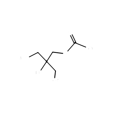 CCCC(=O)OCC(CC)(COC(C)=O)COC(C)=O